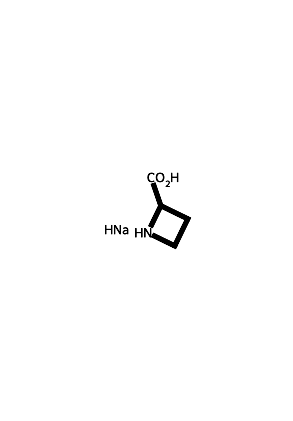 O=C(O)C1CCN1.[NaH]